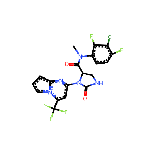 CN(C(=O)C1CNC(=O)N1c1cc(C(F)(F)F)n2cccc2n1)c1ccc(F)c(Cl)c1F